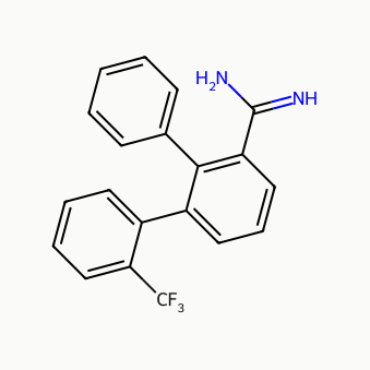 N=C(N)c1cccc(-c2ccccc2C(F)(F)F)c1-c1ccccc1